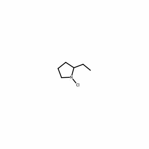 CCC1CCCN1Cl